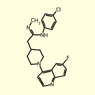 C/N=C(/CC1CCN(c2ccnc3ccc(F)cc23)CC1)Nc1ccc(Cl)cc1